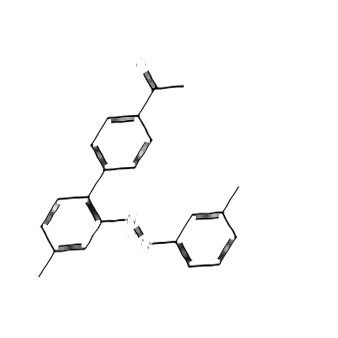 CC(=O)c1ccc(-c2ccc(C)cc2/N=N/c2cccc(C)c2)cc1